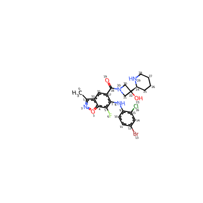 Cc1noc2c(F)c(Nc3ccc(Br)cc3Cl)c(C(=O)N3CC(O)([C@@H]4CCCCN4)C3)cc12